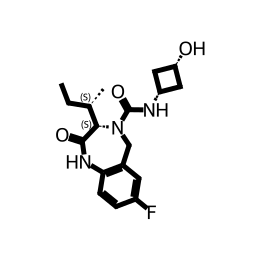 CC[C@H](C)[C@H]1C(=O)Nc2ccc(F)cc2CN1C(=O)N[C@H]1C[C@@H](O)C1